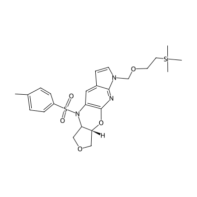 Cc1ccc(S(=O)(=O)N2c3cc4ccn(COCC[Si](C)(C)C)c4nc3O[C@@H]3COCC32)cc1